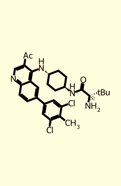 CC(=O)c1cnc2ccc(-c3cc(Cl)c(C)c(Cl)c3)cc2c1N[C@H]1CC[C@H](NC(=O)[C@@H](N)C(C)(C)C)CC1